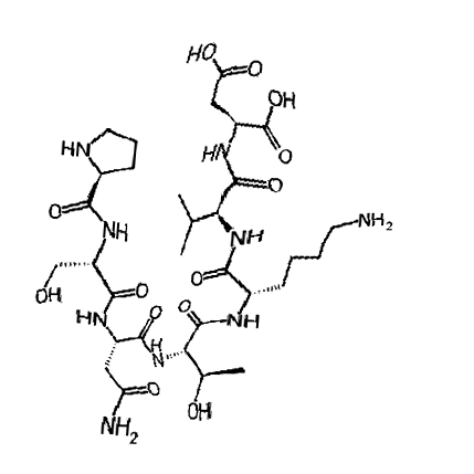 CC(C)[C@H](NC(=O)[C@H](CCCCN)NC(=O)[C@@H](NC(=O)[C@H](CC(N)=O)NC(=O)[C@H](CO)NC(=O)[C@@H]1CCCN1)[C@@H](C)O)C(=O)N[C@@H](CC(=O)O)C(=O)O